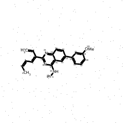 C=C/C(=C\C=C/C)c1nc(NC(C)C)c2cc(-c3cccc(OC)c3)ccc2n1